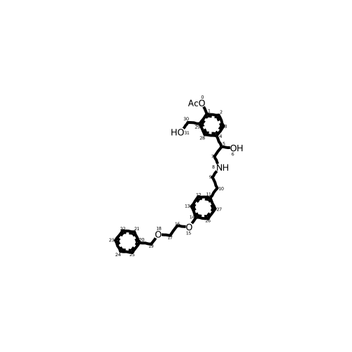 CC(=O)Oc1ccc(C(O)CNCCc2ccc(OCCOCc3ccccc3)cc2)cc1CO